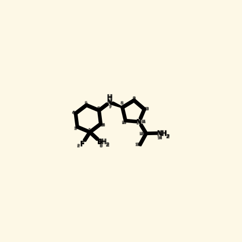 BC1(F)CCCC(N[C@H]2CCN(C(C)N)C2)C1